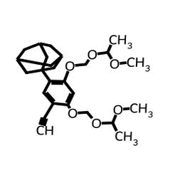 C#Cc1cc(C23CC4CC(CC(C4)C2)C3)c(OCOC(C)OC)cc1OCOC(C)OC